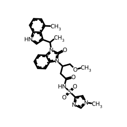 COCC(CC(=O)NS(=O)(=O)c1cn(C)cn1)n1c(=O)n(C(C)c2c[nH]c3cccc(C)c23)c2ccccc21